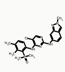 Cc1ccc(Nc2nc(Nc3ccc4cn(C)nc4c3)ncc2Cl)c(P(C)(C)=O)c1C